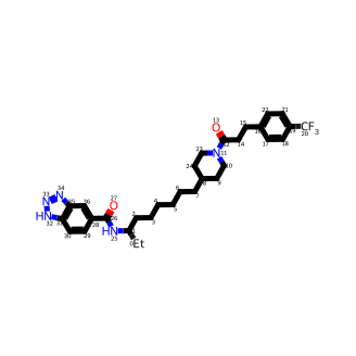 CCC(CCCCCCC1CCN(C(=O)CCc2ccc(C(F)(F)F)cc2)CC1)NC(=O)c1ccc2[nH]nnc2c1